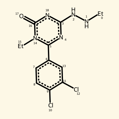 CCNNc1nc(-c2ccc(Cl)c(Cl)c2)n(CC)c(=O)n1